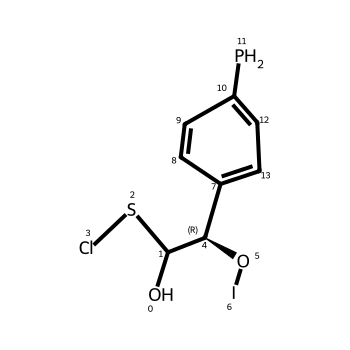 OC(SCl)[C@H](OI)c1ccc(P)cc1